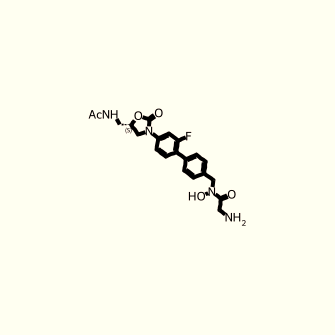 CC(=O)NC[C@H]1CN(c2ccc(-c3ccc(CN(O)C(=O)CN)cc3)c(F)c2)C(=O)O1